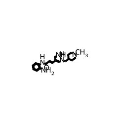 CN1CCC(CN/C=C(C=N)/C=C/C(=O)Nc2ccccc2N)CC1